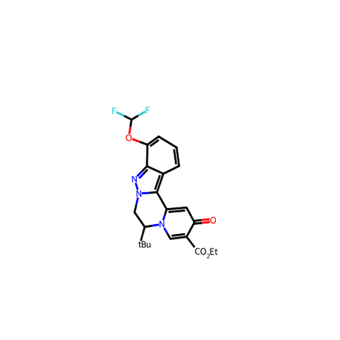 CCOC(=O)c1cn2c(cc1=O)-c1c3cccc(OC(F)F)c3nn1CC2C(C)(C)C